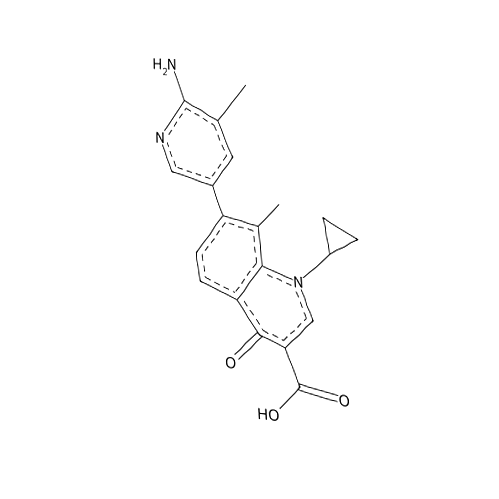 Cc1cc(-c2ccc3c(=O)c(C(=O)O)cn(C4CC4)c3c2C)cnc1N